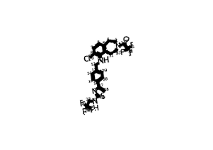 O=C(N1CCc2ccc(Cl)c(NCc3ccc(-c4csc(NCC(F)(F)F)n4)cc3)c2CC1)C(F)(F)F